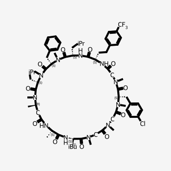 CC[C@H](C)[C@@H]1NC(=O)[C@H](C)NC(=O)C[C@@H](C)N(C)C(=O)[C@H](CC(C)C)N(C)C(=O)[C@H](Cc2ccccc2)N(C)C(=O)[C@H](CC(C)C)NC(=O)[C@H](CCc2ccc(C(F)(F)F)cc2)NC(=O)CN(C)C(=O)[C@H](Cc2ccc(Cl)cc2)N(C)C(=O)CN(C)C(=O)CN(C)C1=O